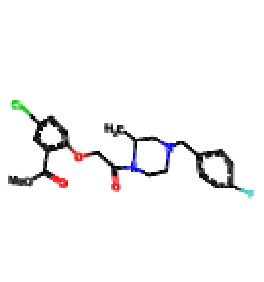 COC(=O)c1cc(Cl)ccc1OCC(=O)N1CCN(Cc2ccc(F)cc2)CC1C